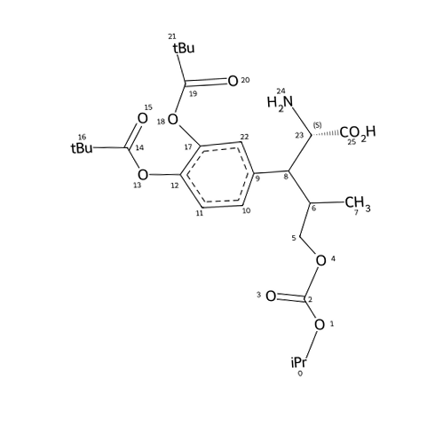 CC(C)OC(=O)OCC(C)C(c1ccc(OC(=O)C(C)(C)C)c(OC(=O)C(C)(C)C)c1)[C@H](N)C(=O)O